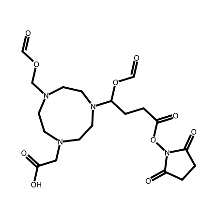 O=COCN1CCN(CC(=O)O)CCN(C(CCC(=O)ON2C(=O)CCC2=O)OC=O)CC1